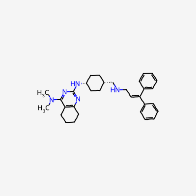 CN(C)c1nc(N[C@H]2CC[C@@H](CNCC=C(c3ccccc3)c3ccccc3)CC2)nc2c1CCCC2